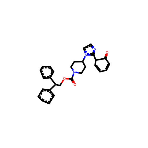 O=C1C=CC=CC1c1nccn1C1CCN(C(=O)OCC(c2ccccc2)c2ccccc2)CC1